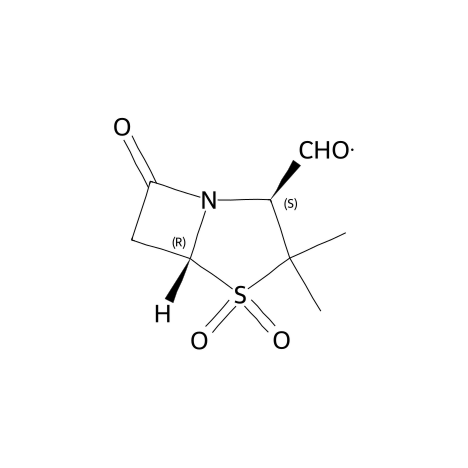 CC1(C)[C@H]([C]=O)N2C(=O)C[C@H]2S1(=O)=O